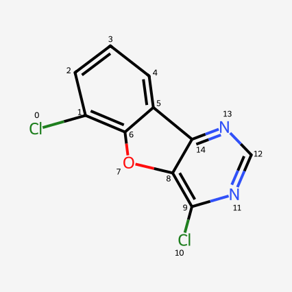 Clc1cccc2c1oc1c(Cl)ncnc12